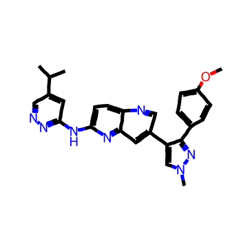 COc1ccc(-c2nn(C)cc2-c2cnc3ccc(Nc4cc(C(C)C)cnn4)nc3c2)cc1